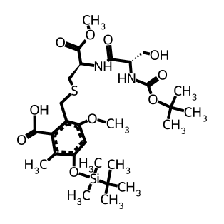 COC(=O)[C@H](CSCc1c(OC)cc(O[Si](C)(C)C(C)(C)C)c(C)c1C(=O)O)NC(=O)[C@H](CO)NC(=O)OC(C)(C)C